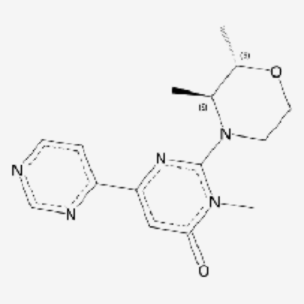 C[C@@H]1OCCN(c2nc(-c3ccncn3)cc(=O)n2C)[C@H]1C